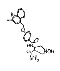 Cc1cc(COc2ccc(C(=O)NC3CN(O)CC3C(N)=O)cc2)c2ccccc2n1